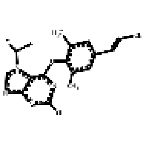 Cc1cc(/C=C/C#N)cc(C)c1Oc1nc(Cl)nc2ncn(C(F)F)c12